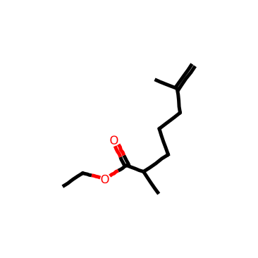 C=C(C)CCCC(C)C(=O)OCC